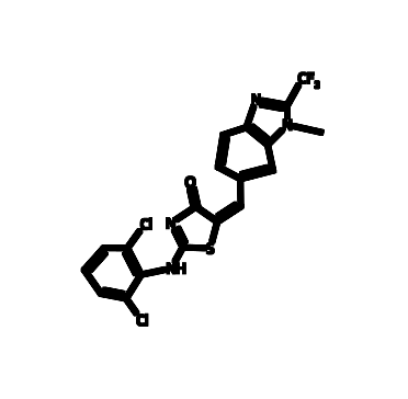 Cn1c(C(F)(F)F)nc2ccc(C=C3SC(Nc4c(Cl)cccc4Cl)=NC3=O)cc21